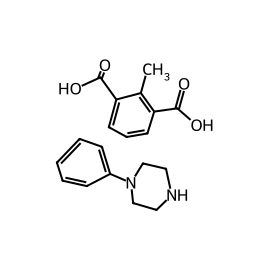 Cc1c(C(=O)O)cccc1C(=O)O.c1ccc(N2CCNCC2)cc1